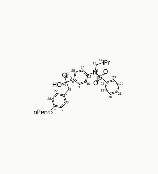 CCCCCc1ccc(CC(O)(c2ccc(N(CC(C)C)S(=O)(=O)c3ccccc3)cc2)C(F)(F)F)cc1